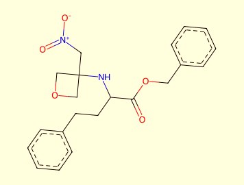 O=C(OCc1ccccc1)C(CCc1ccccc1)NC1(C[N+](=O)[O-])COC1